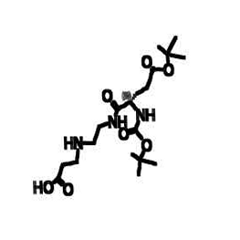 CC(C)(C)OC(=O)CC[C@H](NC(=O)OC(C)(C)C)C(=O)NCCNCCC(=O)O